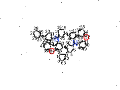 c1ccc(-c2ccc(N(c3cccc(-c4cccc(N(c5ccc(-c6ccccc6)cc5)c5cccc6oc7ccccc7c56)c4)c3)c3cccc4oc5ccccc5c34)cc2)cc1